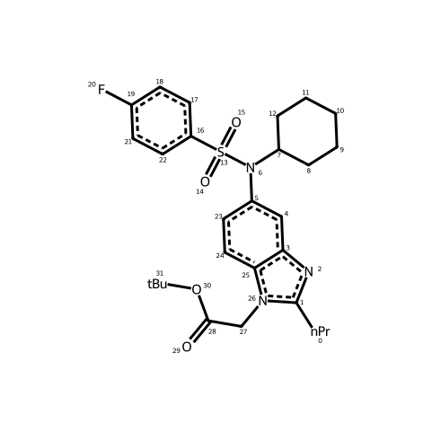 CCCc1nc2cc(N(C3CCCCC3)S(=O)(=O)c3ccc(F)cc3)ccc2n1CC(=O)OC(C)(C)C